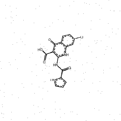 O=C(Nc1[nH]c2cc(Cl)ccc2c(=O)c1C(=O)O)c1ccc[nH]1